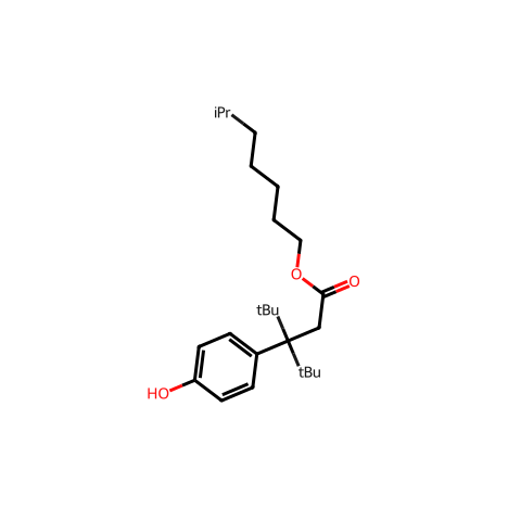 CC(C)CCCCCOC(=O)CC(c1ccc(O)cc1)(C(C)(C)C)C(C)(C)C